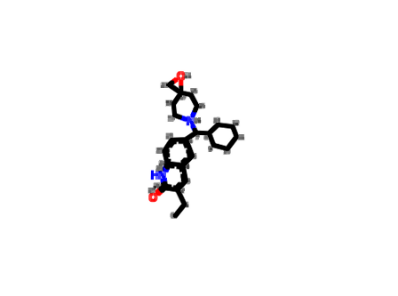 CCc1cc2cc(C(C3CCCCC3)N3CCC4(CC3)CO4)ccc2[nH]c1=O